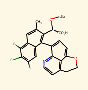 Cc1cc2c(F)c(Cl)c(F)cc2c(-c2ccc3c4c(ccnc24)CCO3)c1[C@@H](OC(C)(C)C)C(=O)O